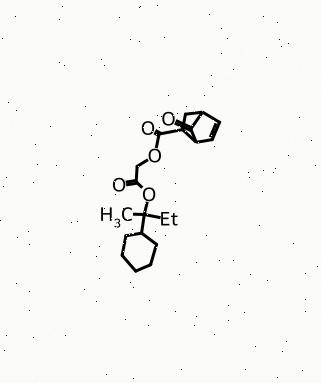 CCC(C)(OC(=O)COC(=O)C1CC2C=CC1C2=O)C1CCCCC1